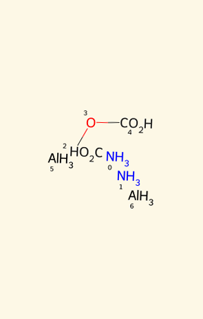 N.N.O=C(O)OC(=O)O.[AlH3].[AlH3]